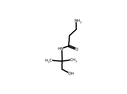 CC(C)(CO)NC(=O)CCN